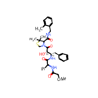 COCC(=O)NC(C(=O)N[C@@H](Cc1ccccc1)[C@H](O)C(=O)N1CSC(C)(C)C1C(=O)NCc1ccccc1C)C(C)C